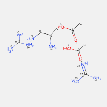 CC(=O)O.CC(=O)O.CC(N)CN.N=C(N)N.N=C(N)N